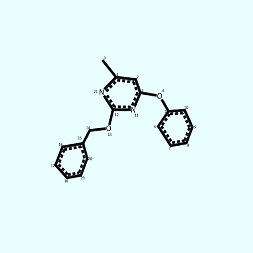 Cc1cc(Oc2ccccc2)nc(OCc2ccccc2)n1